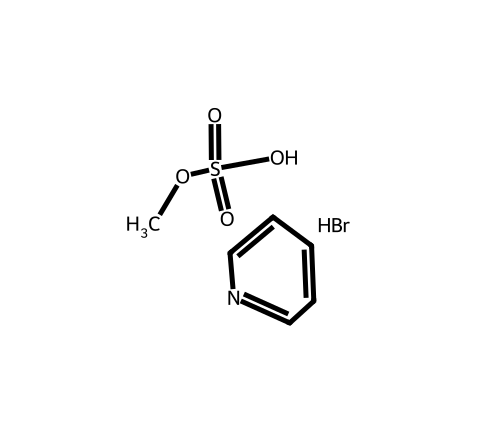 Br.COS(=O)(=O)O.c1ccncc1